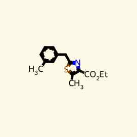 CCOC(=O)c1nc(Cc2cccc(C)c2)sc1C